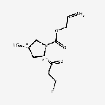 C=CCOC(=O)N1C[C@@H](S)C[C@H]1C(=O)CCF